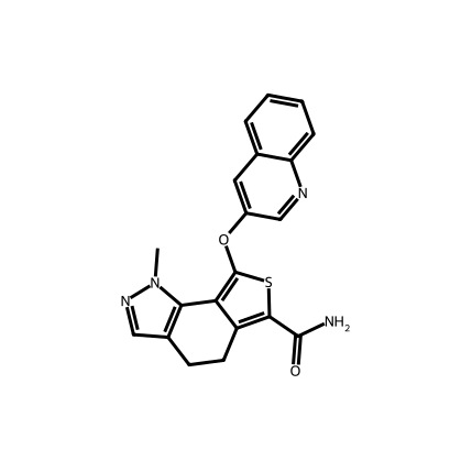 Cn1ncc2c1-c1c(Oc3cnc4ccccc4c3)sc(C(N)=O)c1CC2